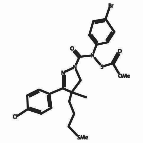 COC(=O)SN(C(=O)N1CC(C)(CCCSC)C(c2ccc(Cl)cc2)=N1)c1ccc(Br)cc1